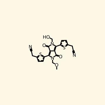 COCN1C(=O)C2=C(c3ccc(CC#N)s3)N(CO)C(=O)C2=C1c1ccc(CC#N)s1